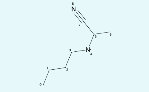 CCCC[N]C(C)C#N